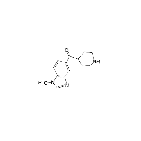 Cn1cnc2cc(C(=O)C3CCNCC3)ccc21